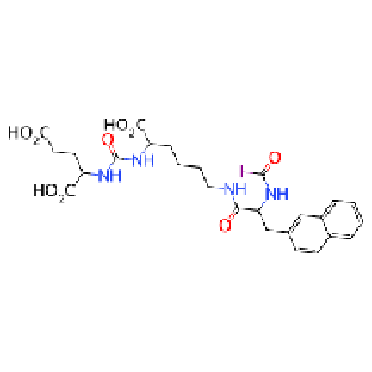 O=C(O)CCC(NC(=O)NC(CCCCNC(=O)C(Cc1ccc2ccccc2c1)NC(=O)I)C(=O)O)C(=O)O